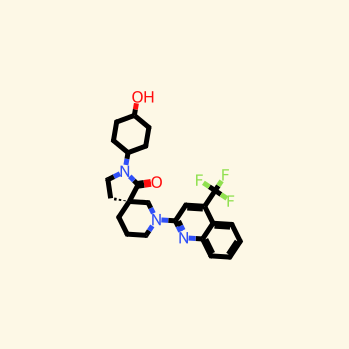 O=C1N(C2CCC(O)CC2)CC[C@]12CCCN(c1cc(C(F)(F)F)c3ccccc3n1)C2